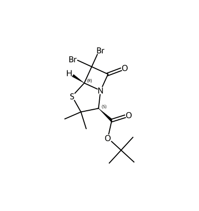 CC(C)(C)OC(=O)[C@@H]1N2C(=O)C(Br)(Br)[C@H]2SC1(C)C